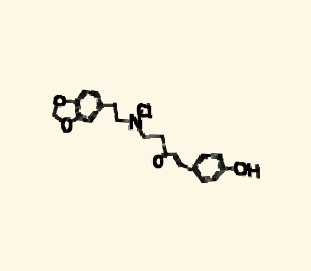 O=C(/C=C/c1ccc(O)cc1)CCN(Cl)CCc1ccc2c(c1)OCO2